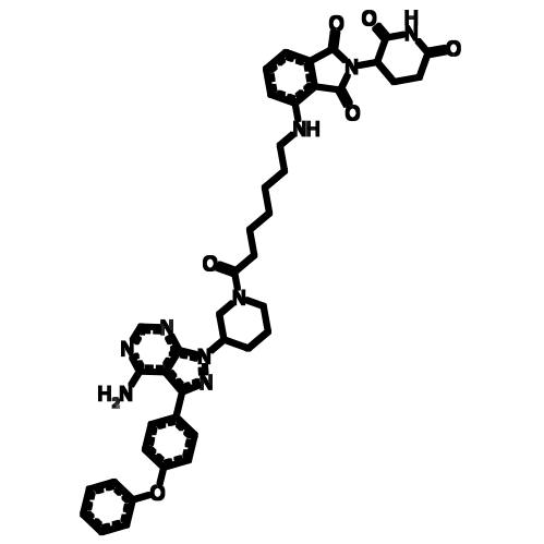 Nc1ncnc2c1c(-c1ccc(Oc3ccccc3)cc1)nn2C1CCCN(C(=O)CCCCCCNc2cccc3c2C(=O)N(C2CCC(=O)NC2=O)C3=O)C1